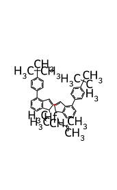 CC(C)C[CH]=[Hf]([CH3])([CH3])([CH3])([CH]1C=Cc2c(-c3ccc(C(C)(C)C)cc3)cccc21)[CH]1C=Cc2c(-c3ccc(C(C)(C)C)cc3)cccc21